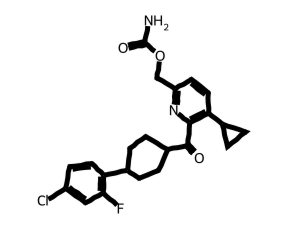 NC(=O)OCc1ccc(C2CC2)c(C(=O)C2CCC(c3ccc(Cl)cc3F)CC2)n1